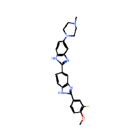 COc1ccc(-c2nc3cc(-c4nc5cc(N6CCN(C)CC6)ccc5[nH]4)ccc3[nH]2)cc1F